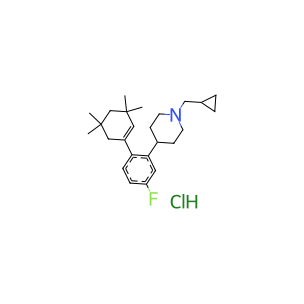 CC1(C)C=C(c2ccc(F)cc2C2CCN(CC3CC3)CC2)CC(C)(C)C1.Cl